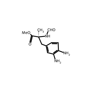 COC(=O)[C@](C)(Cc1ccc(N)c(N)c1)NC=O